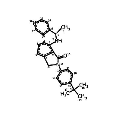 C[C@@H](Nc1cccc2c1C(=O)N(c1ccc(C(C)(C)C)cc1)C2)c1ccncc1